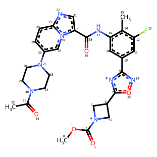 COC(=O)N1CC(c2nc(-c3cc(F)c(C)c(NC(=O)c4cnc5ccc(N6CCN(C(C)=O)CC6)cn45)c3)no2)C1